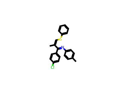 CC(=CSc1ccccc1)C(=Nc1ccc(C)cc1)c1ccc(Cl)cc1